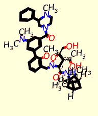 COc1c(CN2O[C@@H](CO)[C@H]([C@H](C)O)[C@H]2C(=O)N[C@H]2C[C@H]3C[C@@H]([C@@H]2C)C3(C)C)cccc1-c1cc(C(=O)N2CCN(C)C(c3ccccc3)C2)cc(N(C)C)c1